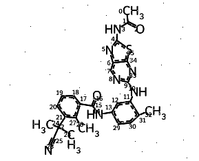 CC(=O)Nc1nc2cnc(Nc3cc(NC(=O)c4cccc(C(C)(C)C#N)c4C)ccc3C)nc2s1